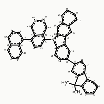 CC1(C)c2ccccc2-c2ccc(-c3ccc4c(c3)c3cc5ccccc5cc3n4-c3ccc(-c4cccc5ccccc45)c4cnncc34)cc21